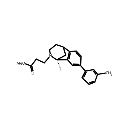 COC(=O)CCN1CCC2C[C@H]1c1cc(-c3cccc(C)c3)ccc12